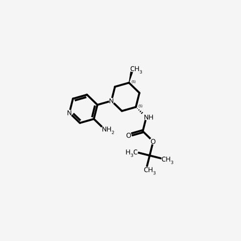 C[C@H]1C[C@H](NC(=O)OC(C)(C)C)CN(c2ccncc2N)C1